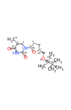 Cc1cn([C@H]2CC[C@@H](CO[Si](C)(C)C(C)(C)C)O2)c(=O)[nH]c1=O